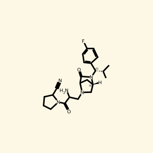 CC(C)[C@@H](c1ccc(F)cc1)N1C(=O)C2C[C@H]1CN2CC(N)C(=O)N1CCCC1C#N